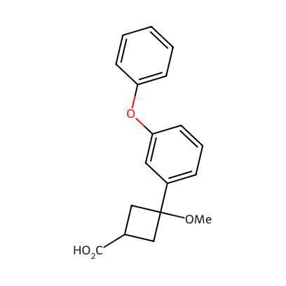 COC1(c2cccc(Oc3ccccc3)c2)CC(C(=O)O)C1